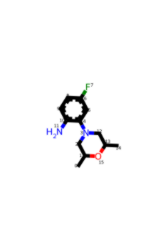 CC1CN(c2cc(F)ccc2N)CC(C)O1